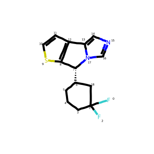 FC1(F)CCCC([C@@H]2c3sccc3-c3cncn32)C1